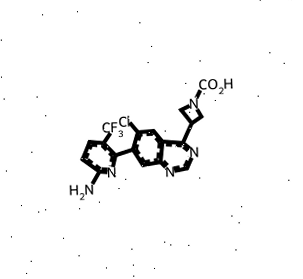 Nc1ccc(C(F)(F)F)c(-c2cc3ncnc(C4CN(C(=O)O)C4)c3cc2Cl)n1